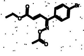 CCOC(=O)C=CC(=NOC(C)=O)c1ccc(Br)cc1